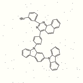 CC(C)(C)c1cccc(-c2nc(-c3ccc(-n4c5ccccc5c5ccc(-n6c7ccccc7c7ccccc76)cc54)cc3)c3ccc4ccccc4c3n2)c1